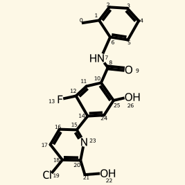 Cc1ccccc1NC(=O)c1cc(F)c(-c2ccc(Cl)c(CO)n2)cc1O